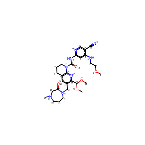 COCCNc1cc(NC(=O)N2CCCc3cc(CN4CCCN(C)CC4=O)c(C(OC)OC)nc32)ncc1C#N